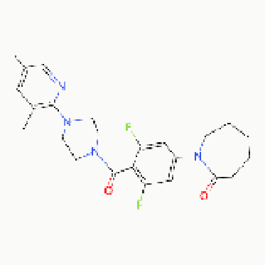 Cc1cnc(N2CCN(C(=O)c3c(F)cc(N4CCCCCC4=O)cc3F)CC2)c(C)c1